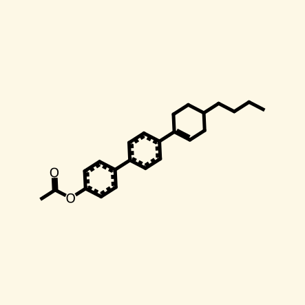 CCCCC1CC=C(c2ccc(-c3ccc(OC(C)=O)cc3)cc2)CC1